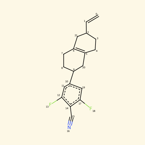 C=CC1CCC2=C(CCC(c3cc(F)c(C#N)c(F)c3)C2)C1